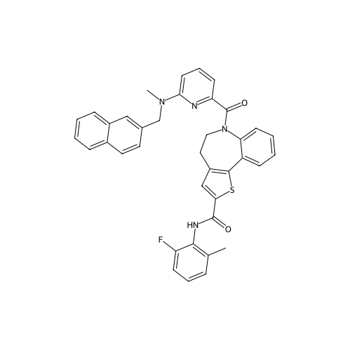 Cc1cccc(F)c1NC(=O)c1cc2c(s1)-c1ccccc1N(C(=O)c1cccc(N(C)Cc3ccc4ccccc4c3)n1)CC2